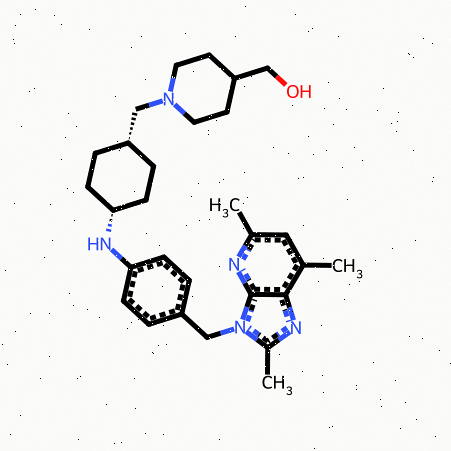 Cc1cc(C)c2nc(C)n(Cc3ccc(N[C@H]4CC[C@@H](CN5CCC(CO)CC5)CC4)cc3)c2n1